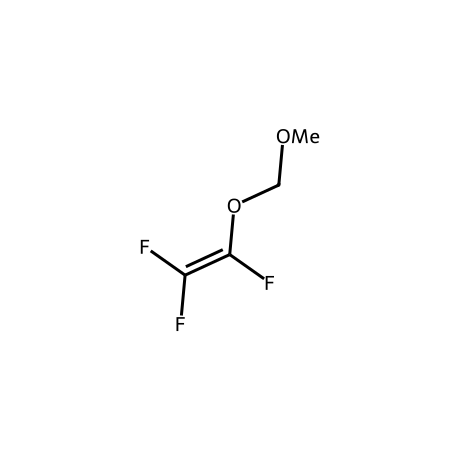 COCOC(F)=C(F)F